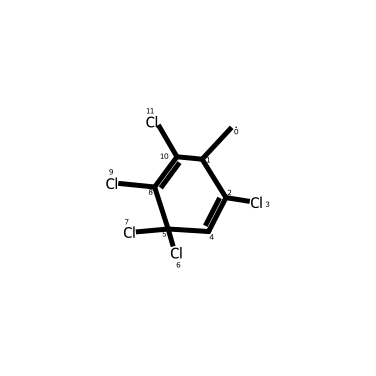 [CH2]C1C(Cl)=CC(Cl)(Cl)C(Cl)=C1Cl